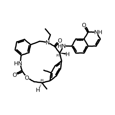 CCN1Cc2cccc(c2)NC(=O)OC[C@H](C)c2ccc(cc2C)[C@@H](Nc2ccc3cc[nH]c(=O)c3c2)C1=O